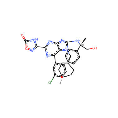 C[C@](CO)(Nc1nc2nc(-c3noc(=O)[nH]3)nc(-c3cccc(Cl)c3)c2n1C[C@H]1CC[C@H](C)CC1)c1ccccc1